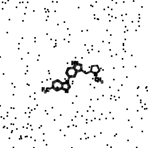 CN1CCCC1Cc1c[nH]c2ccc(-n3cnc4cc(C(F)(F)F)ccc43)cc12